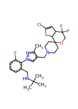 Cc1nn(-c2c(F)cccc2CNC(C)(C)C)cc1CN1CCC2(CC1)OCC(F)(F)C1C=C(Cl)SC12